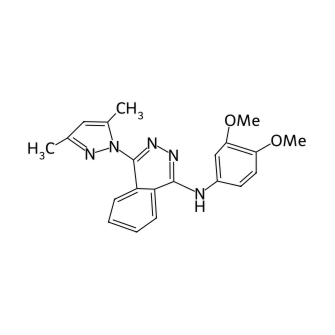 COc1ccc(Nc2nnc(-n3nc(C)cc3C)c3ccccc23)cc1OC